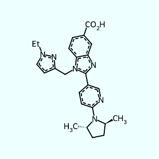 CCn1ccc(Cn2c(-c3ccc(N4[C@@H](C)CC[C@@H]4C)nc3)nc3cc(C(=O)O)ccc32)n1